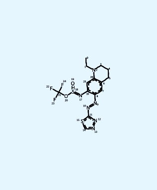 CCN1CCCc2cc(N=Nc3nncs3)c(N=[SH](=O)OC(F)(F)F)cc21